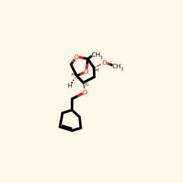 CO[C@@H]1C[C@H](OCC2CC=CCC2)[C@H]2COC1(C)O2